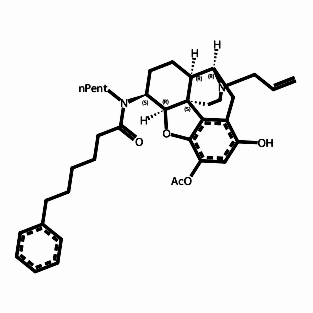 C=CCN1CC[C@]23c4c5c(O)cc(OC(C)=O)c4O[C@H]2[C@@H](N(CCCCC)C(=O)CCCCCc2ccccc2)CC[C@H]3[C@H]1C5